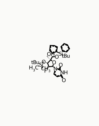 CC(C)(C)[Si](C)(C)O[C@H]1[C@H](F)[C@H](n2ccc(=O)[nH]c2=O)O[C@]1(CO)CO[Si](c1ccccc1)(c1ccccc1)C(C)(C)C